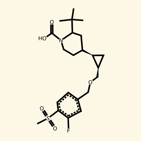 CC(C)(C)C1CC([C@H]2C[C@H]2COCc2ccc(S(C)(=O)=O)c(F)c2)CCN1C(=O)O